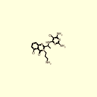 CC(Nc1nc(N)nc(N)c1Cl)c1nc2cccc(Cl)c2c(=O)n1CCCN